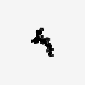 CC(C)(C)[C@H](NC(=O)c1nn(Cc2ccc(C#N)cc2)c2cc(F)ccc12)C(=O)NCc1nnc(C(=O)NCCO)o1